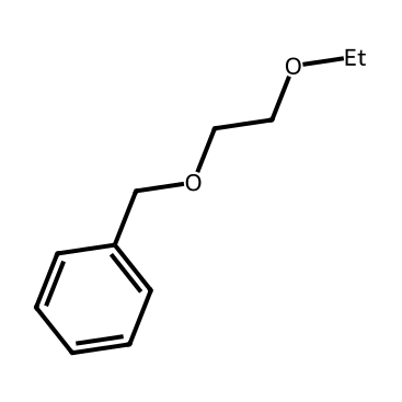 [CH2]COCCOCc1ccccc1